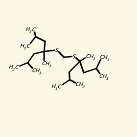 CC(C)CC(C)(CC(C)C)SCSC(C)(CC(C)C)CC(C)C